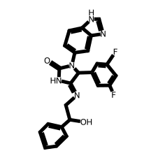 O=C1NC(=NCC(O)c2ccccc2)C(c2cc(F)cc(F)c2)N1c1ccc2[nH]cnc2c1